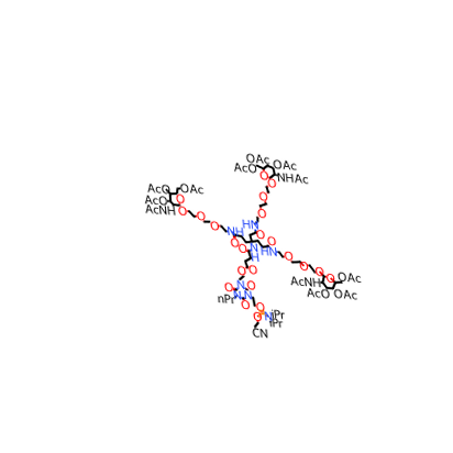 CCCn1c(=O)n(CCOC(=O)CCC(=O)NC(CCC(=O)NCCOCCOCCOC2OC(COC(C)=O)C(OC(C)=O)C(OC(C)=O)C2NC(C)=O)(CCC(=O)NCCOCCOCCOC2OC(COC(C)=O)C(OC(C)=O)C(OC(C)=O)C2NC(C)=O)CC(=O)NCCOCCOCCOC2OC(COC(C)=O)C(OC(C)=O)C(OC(C)=O)C2NC(C)=O)c(=O)n(CCOP(OCCC#N)N(C(C)C)C(C)C)c1=O